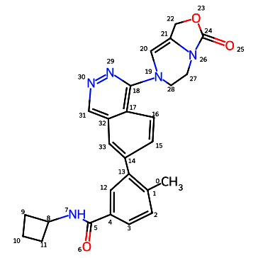 Cc1ccc(C(=O)NC2CCC2)cc1-c1ccc2c(N3C=C4COC(=O)N4CC3)nncc2c1